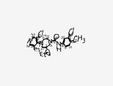 CCOC1CN(C(=O)Nc2ccc(C)c(Cl)c2)CCN(c2c(Cl)cncc2Cl)C1